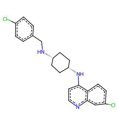 Clc1ccc(CN[C@H]2CC[C@@H](Nc3ccnc4cc(Cl)ccc34)CC2)cc1